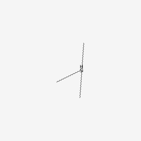 CCCCCCCCCCCCCCCCCCCCCC[SiH](CCCCCCCCCCCCCCCCCCCCCC)CCCCCCCCCCCCCCCCCCCCCC